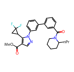 CCCC1CCCCN1C(=O)c1cccc(-c2cccc(-n3ncc(C(=O)OC)c3C3CC3(F)F)c2)c1